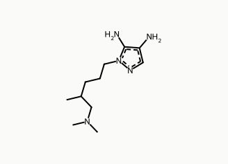 CC(CCCn1ncc(N)c1N)CN(C)C